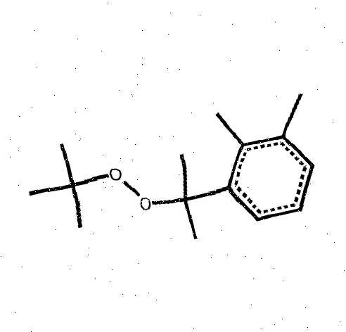 Cc1cccc(C(C)(C)OOC(C)(C)C)c1C